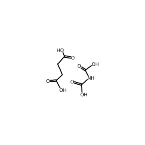 O=C(O)CCC(=O)O.O=C(O)NC(=O)O